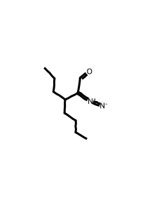 CCCCC(CCC)C(C=O)=[N+]=[N-]